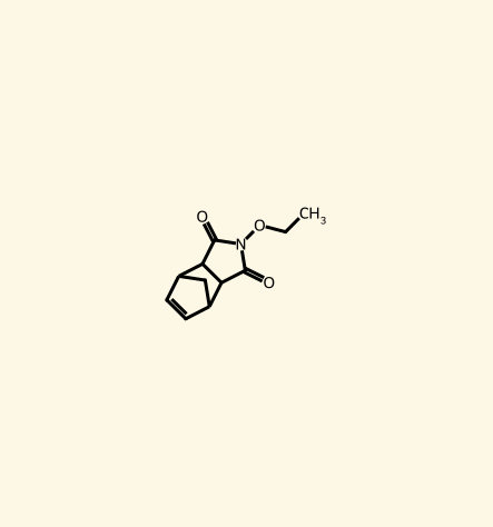 CCON1C(=O)C2C3C=CC(C3)C2C1=O